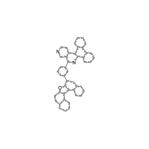 c1cc(-c2nc3c4ccccc4c4ccccc4c3c3ccncc23)cc(-c2cc3ccccc3c3c2oc2ccc4ccccc4c23)c1